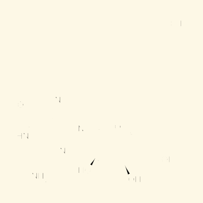 Cc1ccc(C#Cc2nc3c(=O)[nH]c(N)nc3n2[C@@H]2O[C@H](CO)[C@@H](O)[C@H]2O)cc1